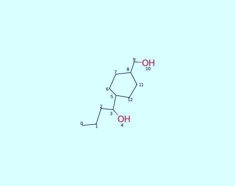 CCCC(O)C1CCC(CO)CC1